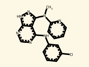 CN(c1ccccn1)c1n[nH]c2ncnc(Nc3cccc(Cl)c3)c12